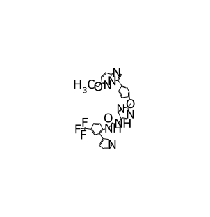 COc1ccc2ncc(-c3ccc(Oc4ncc(NC(=O)Nc5ccc(C(F)(F)F)cc5-c5cccnc5)cn4)cc3)n2n1